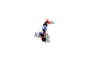 CC(C)(C)OC(=O)CC1CCN(c2ncc(C(=O)NC3C(C)(C)C(Oc4ccc(C#N)c(Cl)c4)C3(C)C)cn2)CC1